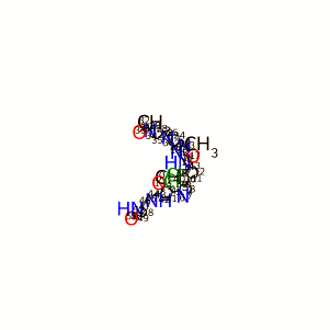 COc1cc(-c2nccc(-c3cccc(NC(=O)c4nc5c(n4C)CCN(C4CCN(C(C)=O)CC4)C5)c3Cl)c2Cl)ccc1CNC[C@H]1CCC(=O)N1